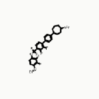 CCCC1CCCC(c2ccc(-c3ccc(C(F)(F)Oc4ccc(OCC)c(F)c4F)c(F)c3F)cc2)CC1